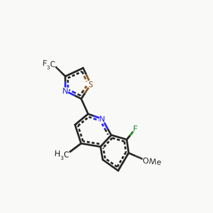 COc1ccc2c(C)cc(-c3nc(C(F)(F)F)cs3)nc2c1F